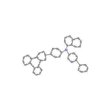 c1ccc(-c2ccc(N(c3ccc(-c4ccc5c6ccccc6c6ccccc6c5c4)cc3)c3cccc4ccccc34)cc2)cc1